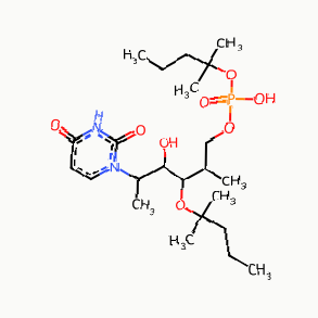 CCCC(C)(C)OC(C(C)COP(=O)(O)OC(C)(C)CCC)C(O)C(C)n1ccc(=O)[nH]c1=O